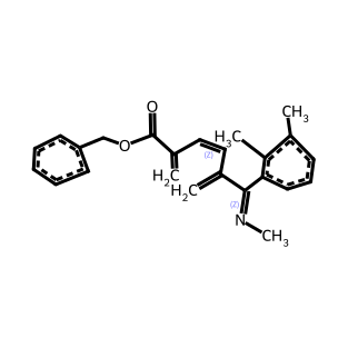 C=C(/C=C\C(=C)/C(=N/C)c1cccc(C)c1C)C(=O)OCc1ccccc1